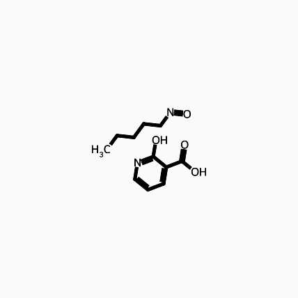 CCCCCN=O.O=C(O)c1cccnc1O